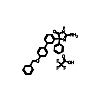 CN1C(=O)C(c2ccccc2)(c2cccc(-c3ccc(OCc4ccccc4)cc3)c2)N=C1N.O=C(O)C(F)(F)F